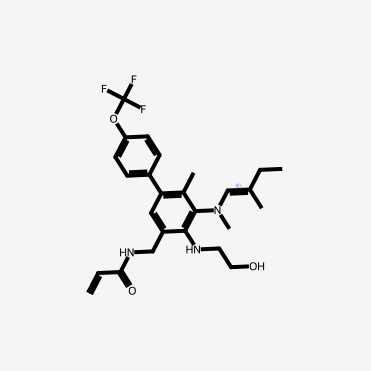 C=CC(=O)NCc1cc(-c2ccc(OC(F)(F)F)cc2)c(C)c(N(C)/C=C(\C)CC)c1NCCO